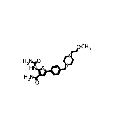 COCCN1CCN(Cc2ccc(-c3cc(C(N)=O)c(NC(N)=O)s3)cc2)CC1